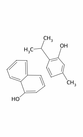 Cc1ccc(C(C)C)c(O)c1.Oc1cccc2ccccc12